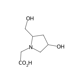 O=C(O)CN1CC(O)CC1CO